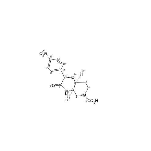 O=C1N[C@@H]2CN(C(=O)O)CC[C@@H]2OC1c1ccc([N+](=O)[O-])cc1